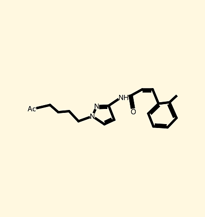 CC(=O)CCCCn1ccc(NC(=O)/C=C\c2ccccc2C)n1